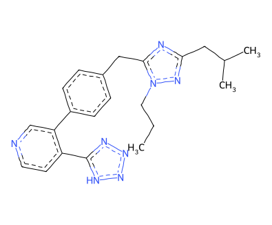 CCCn1nc(CC(C)C)nc1Cc1ccc(-c2cnccc2-c2nnn[nH]2)cc1